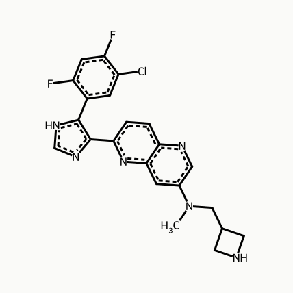 CN(CC1CNC1)c1cnc2ccc(-c3nc[nH]c3-c3cc(Cl)c(F)cc3F)nc2c1